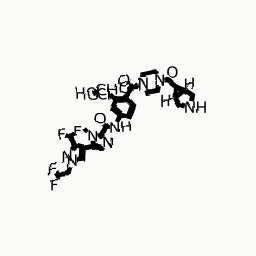 Cn1c(-c2cn(CC(F)F)nc2C(F)F)cnc1C(=O)Nc1ccc(C(=O)N2CCN(C(=O)C3[C@H]4CNC[C@@H]34)CC2)c(Cl)c1.O=CO